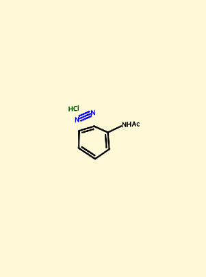 CC(=O)Nc1ccccc1.Cl.N#N